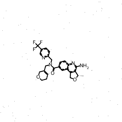 C[C@@H]1OCc2c1c(N)nc1ccc(C(=O)N(CC3=CCCOC3)Cc3ccc(C(F)(F)F)cn3)cc21